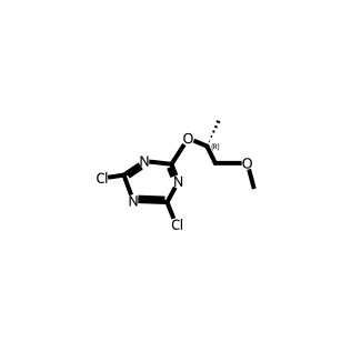 COC[C@@H](C)Oc1nc(Cl)nc(Cl)n1